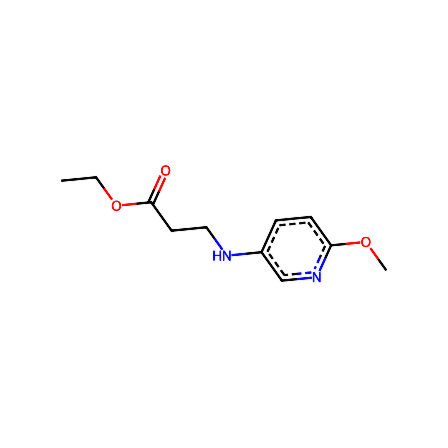 CCOC(=O)CCNc1ccc(OC)nc1